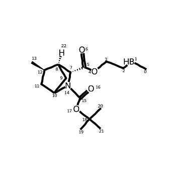 CBCCOC(=O)[C@H]1[C@H]2CC(C[C@H]2C)N1C(=O)OC(C)(C)C